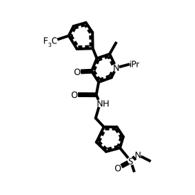 CN=S(C)(=O)c1ccc(CNC(=O)c2cn(C(C)C)c(C)c(-c3cccc(C(F)(F)F)c3)c2=O)cc1